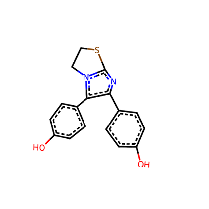 Oc1ccc(-c2nc3n(c2-c2ccc(O)cc2)CCS3)cc1